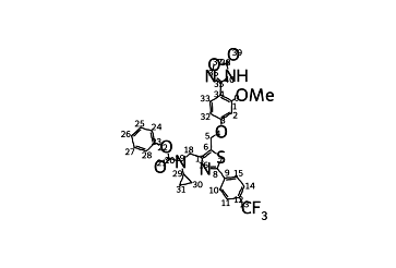 COc1cc(OCc2sc(-c3ccc(C(F)(F)F)cc3)nc2CN(C(=O)Oc2ccccc2)C2CC2)ccc1-c1noc(=O)[nH]1